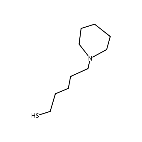 SCCCCCN1CCCCC1